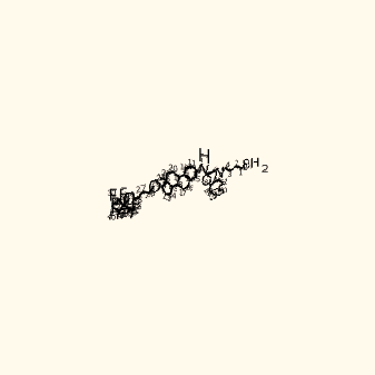 BCCCCN(CC(=O)Nc1ccc2c(c1)CCC1C2CCC2(C)C(OCCCOC(C(F)(F)F)(C(F)(F)F)C(F)(F)F)CCC12)C1CCSSC1